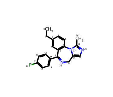 CCc1ccc2c(c1)C(c1ccc(F)cc1)=NCc1cnc(C)n1-2